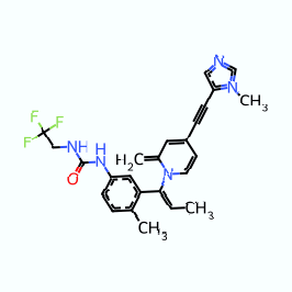 C=C1C=C(C#Cc2cncn2C)C=CN1/C(=C\C)c1cc(NC(=O)NCC(F)(F)F)ccc1C